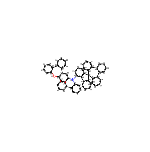 c1ccc(-c2ccccc2N(c2ccc3c(c2)-c2ccccc2-c2ccccc2O3)c2cccc3c2-c2ccccc2C32c3ccccc3-c3ccccc3-c3ccccc32)cc1